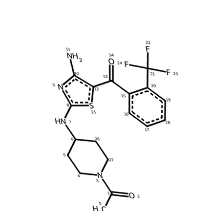 CC(=O)N1CCC(Nc2nc(N)c(C(=O)c3ccccc3C(F)(F)F)s2)CC1